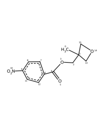 CC1(COC(=O)c2ccc([N+](=O)[O-])cc2)COC1